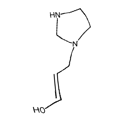 OC=CCN1CCNC1